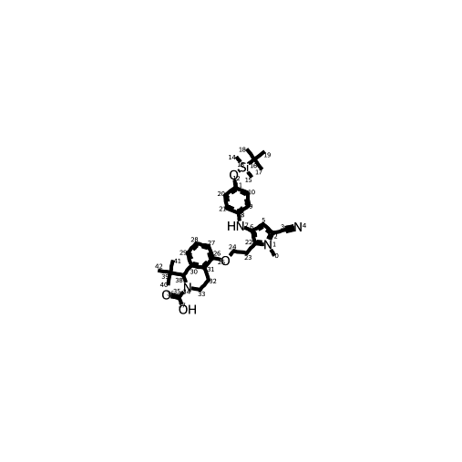 Cn1c(C#N)cc(Nc2ccc(O[Si](C)(C)C(C)(C)C)cc2)c1CCOc1cccc2c1CCN(C(=O)O)C2C(C)(C)C